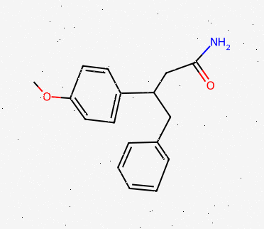 COc1ccc(C(CC(N)=O)Cc2ccccc2)cc1